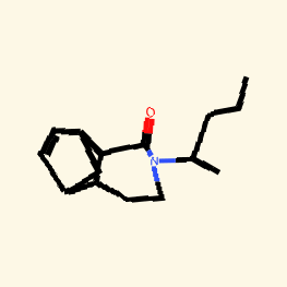 CCCC(C)N1CCC2C3C=CC(C3)C2C1=O